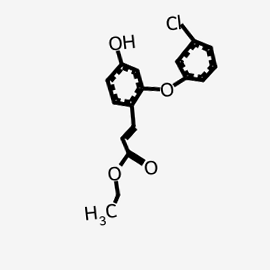 CCOC(=O)/C=C/c1ccc(O)cc1Oc1cccc(Cl)c1